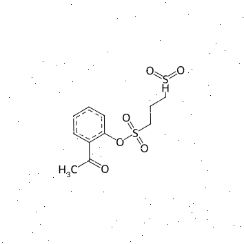 CC(=O)c1ccccc1OS(=O)(=O)CCC[SH](=O)=O